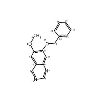 COc1cc2[c]ncnc2cc1OCc1ccccc1